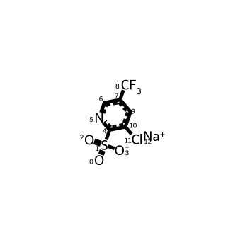 O=S(=O)([O-])c1ncc(C(F)(F)F)cc1Cl.[Na+]